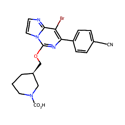 N#Cc1ccc(-c2nc(OC[C@@H]3CCCN(C(=O)O)C3)n3ccnc3c2Br)cc1